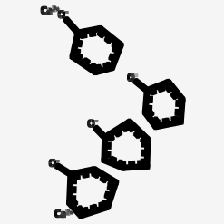 [Ca+2].[Ca+2].[O-]c1ccccc1.[O-]c1ccccc1.[O-]c1ccccc1.[O-]c1ccccc1